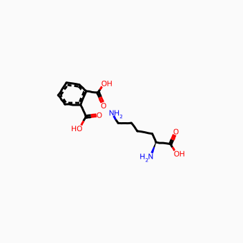 NCCCC[C@H](N)C(=O)O.O=C(O)c1ccccc1C(=O)O